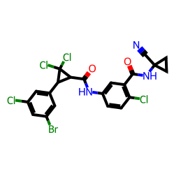 N#CC1(NC(=O)c2cc(NC(=O)C3C(c4cc(Cl)cc(Br)c4)C3(Cl)Cl)ccc2Cl)CC1